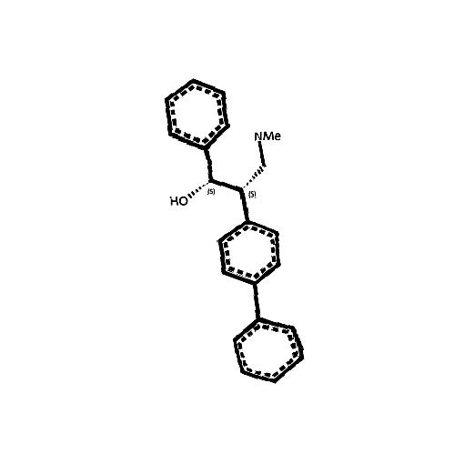 CNC[C@H](c1ccc(-c2ccccc2)cc1)[C@H](O)c1ccccc1